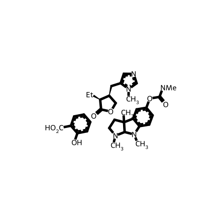 CC[C@@H]1C(=O)OC[C@@H]1Cc1cncn1C.CNC(=O)Oc1ccc2c(c1)C1(C)CCN(C)C1N2C.O=C(O)c1ccccc1O